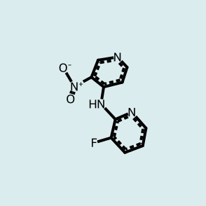 O=[N+]([O-])c1cnccc1Nc1ncccc1F